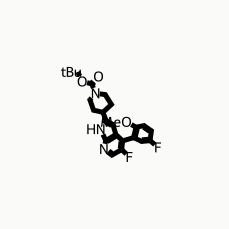 COc1ccc(F)cc1-c1c(F)cnc2[nH]c(C3CCN(C(=O)OC(C)(C)C)CC3)cc12